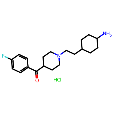 Cl.NC1CCC(CCN2CCC(C(=O)c3ccc(F)cc3)CC2)CC1